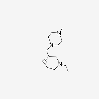 CCN1CCOC(CN2CCN(C)CC2)C1